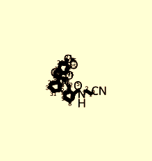 N#CCCNC(=O)c1ccccc1CN1C(=O)C2(COc3cc4c(cc32)OCO4)c2ccccc21